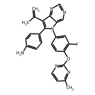 C=C(C)c1c(-c2ccc(N)cc2)n(-c2ccc(Oc3nccc(C)n3)c(F)c2)c2cncnc12